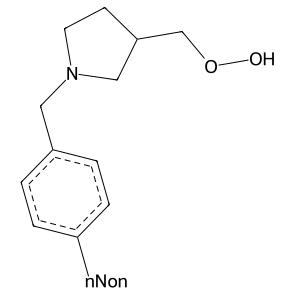 CCCCCCCCCc1ccc(CN2CCC(COO)C2)cc1